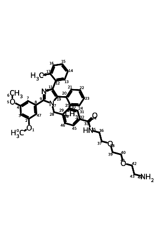 COc1cc(OC)cc(-c2nc(-c3ccccc3C)c(-c3ccccc3C)n2Cc2ccc(C(=O)NCCOCCOCCN)cc2)c1